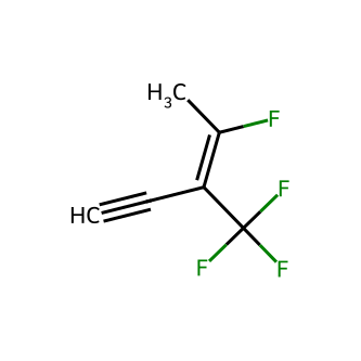 C#C/C(=C(\C)F)C(F)(F)F